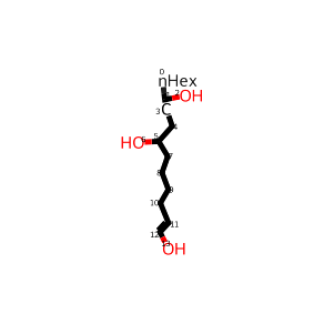 CCCCCCC(O)CCC(O)CCCCC=CO